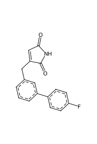 O=C1C=C(Cc2cccc(-c3ccc(F)cc3)c2)C(=O)N1